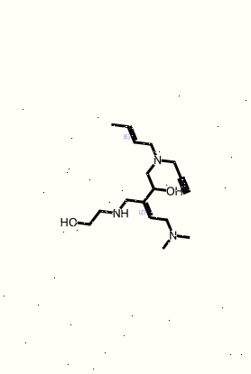 C#CCN(C/C=C/C)CC(O)/C(=C\CN(C)C)CNCCO